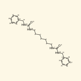 O=C(NCCCCCCCNC(=O)NCc1cccnc1)NCc1cccnc1